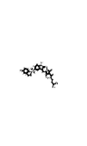 CCC(CC)CCNC(=O)c1c(C)[nH]c(/C=C2\C(=O)Nc3ccc(S(=O)(=O)N4CCc5cc(F)ccc54)cc32)c1C